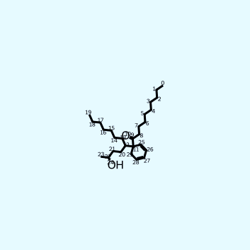 CCCCCCCCCC(=O)C1(C(CCCCCCC)CCC(C)O)C=CC=CC1